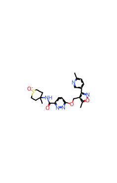 Cc1ccc(-c2noc(C)c2COc2ccc(C(=O)NC3(C)CC[S+]([O-])CC3)nn2)cn1